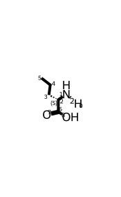 [2H]N[C@@H](CCC)C(=O)O